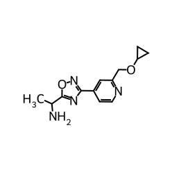 CC(N)c1nc(-c2ccnc(COC3CC3)c2)no1